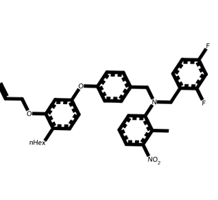 C=CCOc1cc(Oc2ccc(CN(Cc3ccc(F)cc3F)c3cccc([N+](=O)[O-])c3C)cc2)ccc1CCCCCC